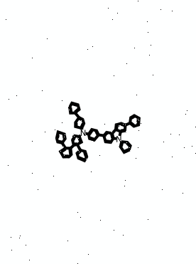 c1ccc(-c2ccc(N(c3ccc(-c4ccc5c(c4)c4ccc(-c6ccccc6)cc4n5-c4ccccc4)cc3)c3ccc(-c4ccccc4-c4ccccc4)c(-c4ccccc4)c3)cc2)cc1